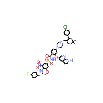 CC1(C)CCC(CN2CCN(c3ccc(C(=O)NS(=O)(=O)c4cc5c(c([N+](=O)[O-])c4)N[C@@H](Cc4ccc(F)cc4)CO5)c(Oc4cnc5[nH]ccc5c4)c3)CC2)=C(c2ccc(Cl)cc2)C1